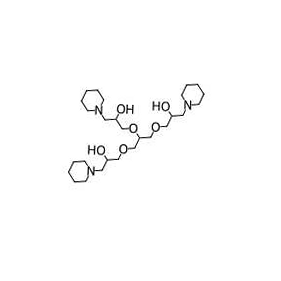 OC(COCC(COCC(O)CN1CCCCC1)OCC(O)CN1CCCCC1)CN1CCCCC1